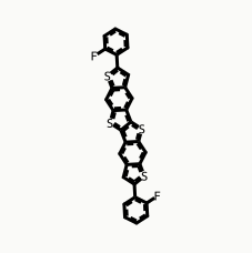 Fc1ccccc1-c1cc2cc3c(cc2s1)sc1c2cc4cc(-c5ccccc5F)sc4cc2sc31